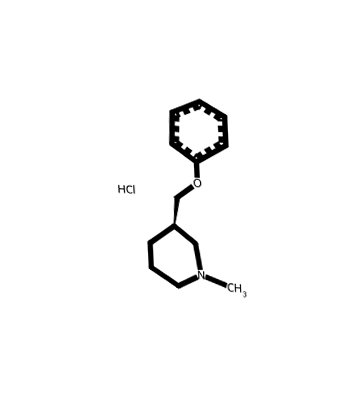 CN1CCC[C@@H](COc2ccccc2)C1.Cl